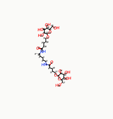 C[C@@H](CCCCNC(=O)CCCCOC1OC(CO)C(O)C(O)C1=O)NC(=O)CCCCOC1OC(CO)C(O)C(O)C1O